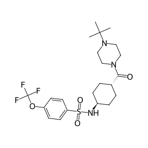 CC(C)(C)N1CCN(C(=O)[C@H]2CC[C@H](NS(=O)(=O)c3ccc(OC(F)(F)F)cc3)CC2)CC1